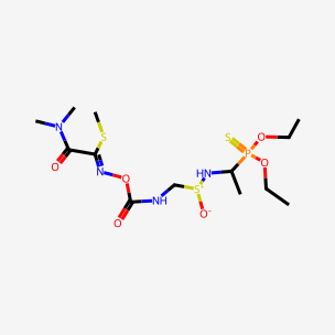 CCOP(=S)(OCC)C(C)N[S+]([O-])CNC(=O)ON=C(SC)C(=O)N(C)C